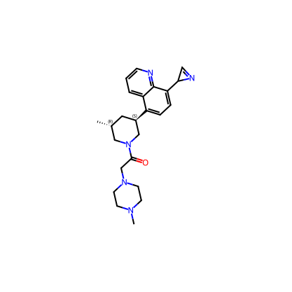 C[C@@H]1C[C@@H](c2ccc(C3C=N3)c3ncccc23)CN(C(=O)CN2CCN(C)CC2)C1